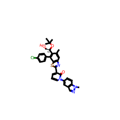 Cc1cc2nc(-c3cccn(-c4ccc5c(cnn5C)c4)c3=O)sc2c(-c2ccc(Cl)cc2)c1[C@@H](CO)OC(C)(C)C